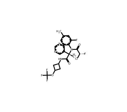 Cc1ccc(N(C(=O)[C@H](F)Cl)[C@](C)(C(=O)NC2CC(OC(F)(F)F)C2)c2cncnc2)c(F)c1